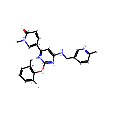 Cc1ccc(CNc2cc(-c3ccc(=O)n(C)c3)nc(Oc3c(C)cccc3F)n2)cn1